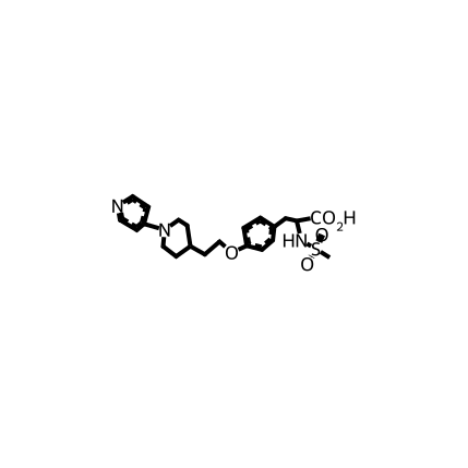 CS(=O)(=O)NC(Cc1ccc(OCCC2CCN(c3ccncc3)CC2)cc1)C(=O)O